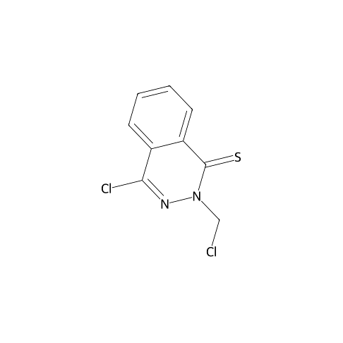 S=c1c2ccccc2c(Cl)nn1CCl